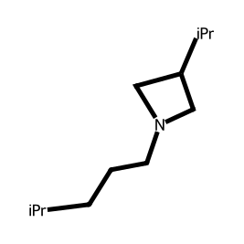 CC(C)CCCN1CC(C(C)C)C1